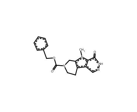 Cn1c2c(c3cn[nH]c(=O)c31)CCN(C(=O)OCc1ccccc1)C2